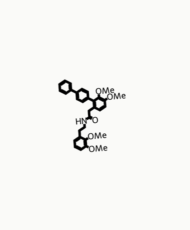 COc1cccc(CCNC(=O)Cc2ccc(OC)c(OC)c2-c2ccc(-c3ccccc3)cc2)c1OC